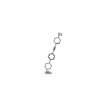 CCCCC1CCC(c2ccc(C#CC3=CCC(CC)CC3)cc2)CC1